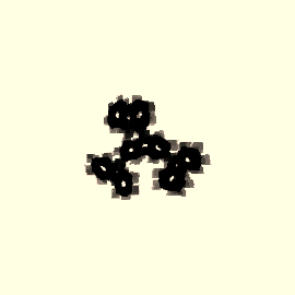 c1ccc2c(c1)sc1c(-n3c4ccc(-n5c6ccccc6c6ccccc65)cc4c4cc(-n5c6ccccc6c6ccccc65)ccc43)cccc12